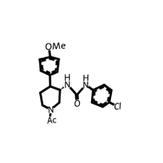 COc1ccc(C2CCN(C(C)=O)C[C@H]2NC(=O)Nc2ccc(Cl)cc2)cc1